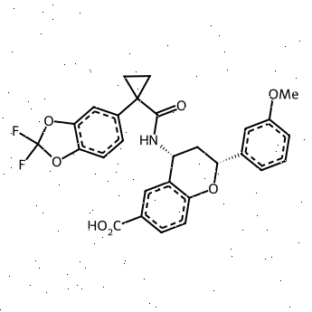 COc1cccc([C@H]2C[C@@H](NC(=O)C3(c4ccc5c(c4)OC(F)(F)O5)CC3)c3cc(C(=O)O)ccc3O2)c1